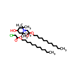 CCCCCCCCCCCCOC(=O)CCl.CCCCCCCCCCCCOC(=O)CN1C(C)(C)CC(O)CC1(C)C